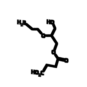 BCCOC(CO)COC(=O)CCC(=O)O